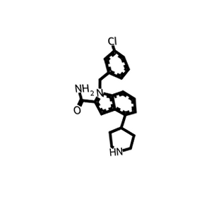 NC(=O)c1cc2c(C3CCNCC3)cccc2n1Cc1cccc(Cl)c1